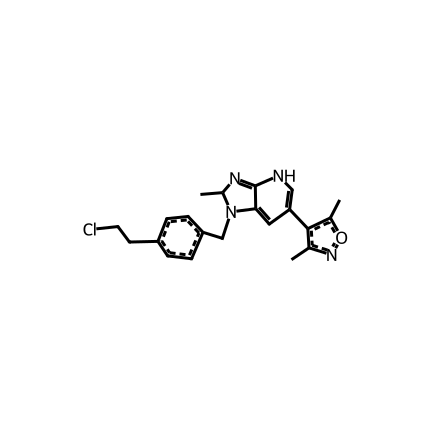 Cc1noc(C)c1C1=CNC2=NC(C)N(Cc3ccc(CCCl)cc3)C2=C1